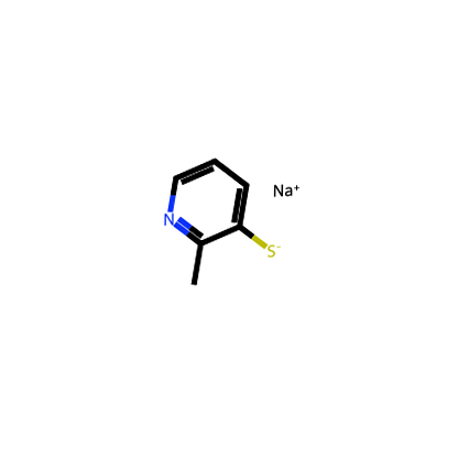 Cc1ncccc1[S-].[Na+]